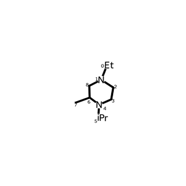 CCN1CCN(C(C)C)C(C)C1